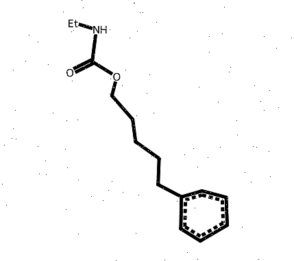 [CH2]CNC(=O)OCCCCCc1ccccc1